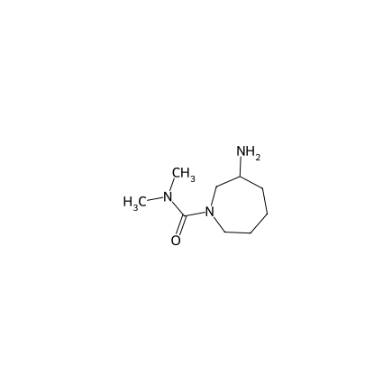 CN(C)C(=O)N1CCCCC(N)C1